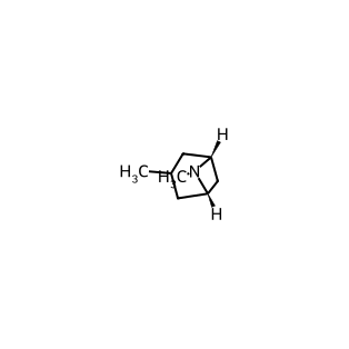 CC1C[C@@H]2C[C@H](C1)N2C